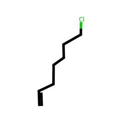 C=CCCCCCCl